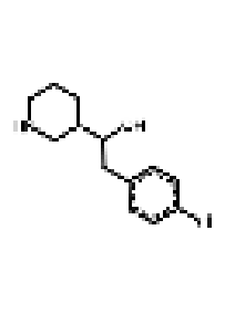 OC(Cc1ccc(Cl)cc1)C1CCCNC1